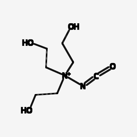 O=C=N[N+](CCO)(CCO)CCO